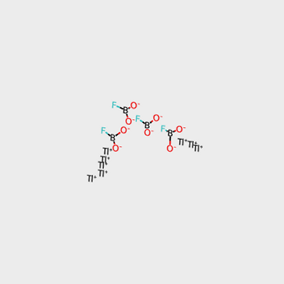 [O-]B([O-])F.[O-]B([O-])F.[O-]B([O-])F.[O-]B([O-])F.[Tl+].[Tl+].[Tl+].[Tl+].[Tl+].[Tl+].[Tl+].[Tl+]